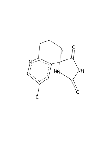 O=C1NC(=O)[C@@]2(CCCc3ncc(Cl)cc32)N1